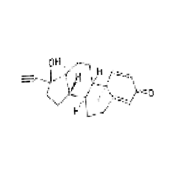 C#CC1(O)CC[C@H]2[C@@H]3CCC4=CC(=O)C=C[C@]4(C)[C@@H]3CC[C@@]21C